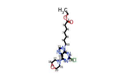 CCOC(=O)CCCCCCn1cnc2c(N3CCOCC3)nc(Cl)nc21